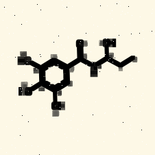 CCC(O)NC(=O)c1cc(O)c(O)c(O)c1